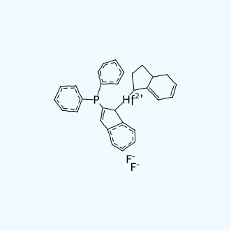 C1=CCC2CC[CH]([Hf+2][CH]3C(P(c4ccccc4)c4ccccc4)=Cc4ccccc43)C2=C1.[F-].[F-]